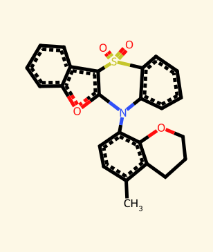 Cc1ccc(N2c3ccccc3S(=O)(=O)c3c2oc2ccccc32)c2c1CCCO2